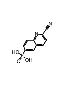 N#Cc1ccc2cc(P(=O)(O)O)ccc2n1